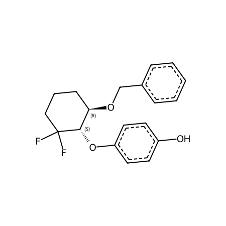 Oc1ccc(O[C@H]2[C@H](OCc3ccccc3)CCCC2(F)F)cc1